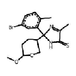 COC1CCC(C2(c3cc(Br)ccc3C)N=C(C)C(=S)N2)CC1